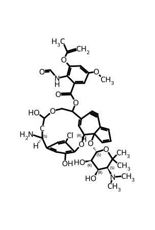 C=C(C)Oc1cc(OC)cc(C(=O)OC2COC(O)C[C@H](N)c3cc(O)c(c(Cl)c3)O[C@@H]3C=C2C#CC2=CC=CC23O[C@@H]2OC(C)(C)[C@@H](N(C)C)[C@@H](O)[C@H]2O)c1NC=O